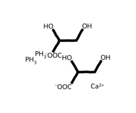 O=C([O-])C(O)CO.O=C([O-])C(O)CO.P.P.[Ca+2]